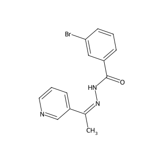 CC(=NNC(=O)c1cccc(Br)c1)c1cccnc1